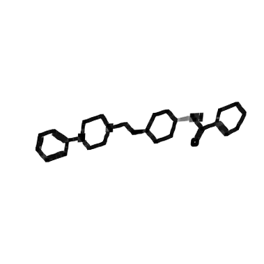 O=C(N[C@H]1CC[C@H](CCN2CCN(c3ccccc3)CC2)CC1)C1=CCCCC1